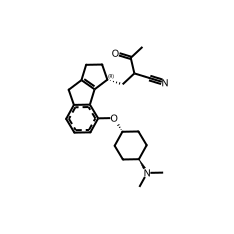 CC(=O)C(C#N)C[C@H]1CCC2=C1c1c(cccc1O[C@H]1CC[C@H](N(C)C)CC1)C2